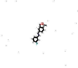 CB1OCc2cc(/C=C/c3cccc(F)c3)ccc21